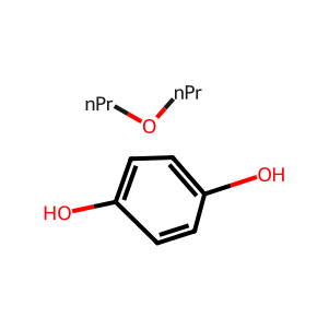 CCCOCCC.Oc1ccc(O)cc1